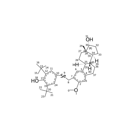 COc1cc2c(cc1C[Se]c1cc(C(C)(C)C)c(O)c(C(C)(C)C)c1)[C@H]1CC[C@]3(C)[C@H](O)CC[C@H]3[C@@H]1CC2